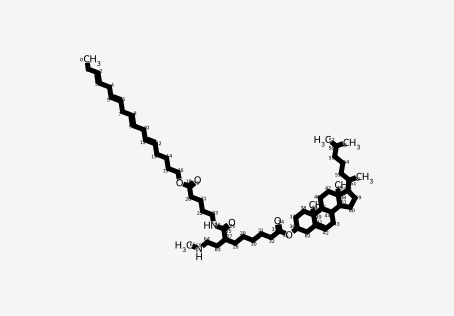 CC/C=C/C/C=C/C/C=C/C/C=C/CCCCOC(=O)CCCCNC(=O)C(CCCCCC(=O)OC1CCC2(C)C(=CCC3C2CCC2(C)C(C(C)CCCC(C)C)CCC32)C1)CCNC